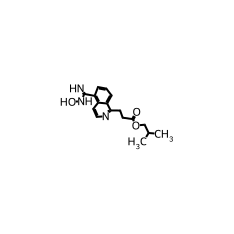 CC(C)COC(=O)CCc1nccc2c(C(=N)NO)cccc12